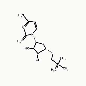 C=C1N=C(N)C=CN1[C@@H]1O[C@H](CCP(=C)(C)C)[C@@H](O)C1O